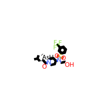 C[AsH][C@@H](CC(C)C)C(=O)N1CCC(N(CCO)S(=O)(=O)c2cccc(C(F)(F)F)c2)CC1